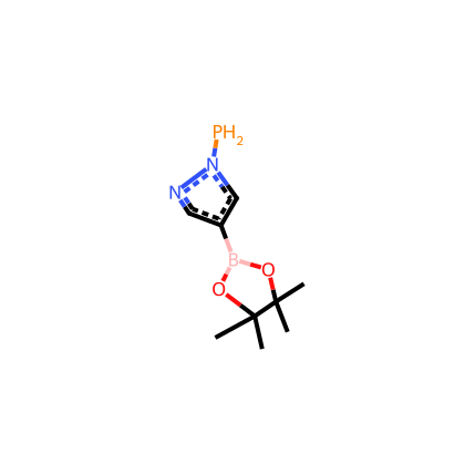 CC1(C)OB(c2cnn(P)c2)OC1(C)C